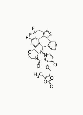 Cc1oc(=O)oc1COc1c2n(ccc1=O)N(C1c3ccccc3-c3scc4c3-c3c1ccc(F)c3C(F)(F)C4)C1COCCN1C2=O